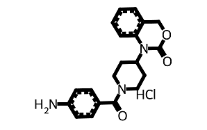 Cl.Nc1ccc(C(=O)N2CCC(N3C(=O)OCc4ccccc43)CC2)cc1